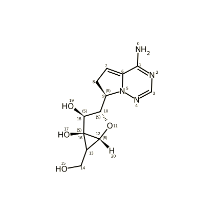 NC1=NC=NN2C1=CC[C@@H]2[C@@H]1O[C@@H]2C(CO)[C@]2(O)[C@H]1O